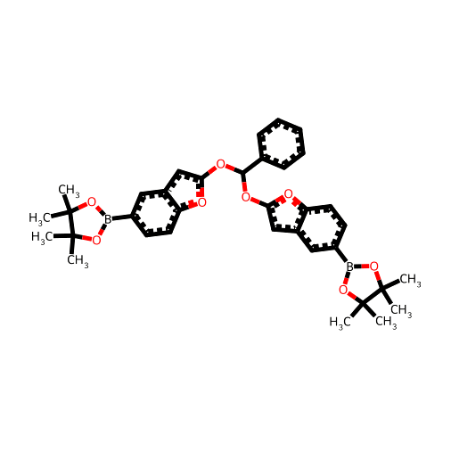 CC1(C)OB(c2ccc3oc(OC(Oc4cc5cc(B6OC(C)(C)C(C)(C)O6)ccc5o4)c4ccccc4)cc3c2)OC1(C)C